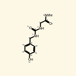 CNC(=O)CNC(=O)NCc1ccc(O)cc1